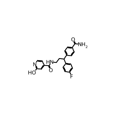 NC(=O)c1ccc(C(CCNC(=O)c2ccnc(O)c2)c2ccc(F)cc2)cc1